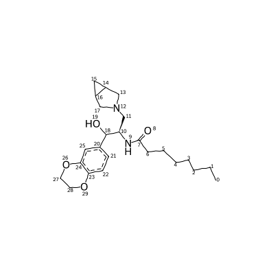 CCCCCCCC(=O)N[C@H](CN1CC2CC2C1)C(O)c1ccc2c(c1)OCCO2